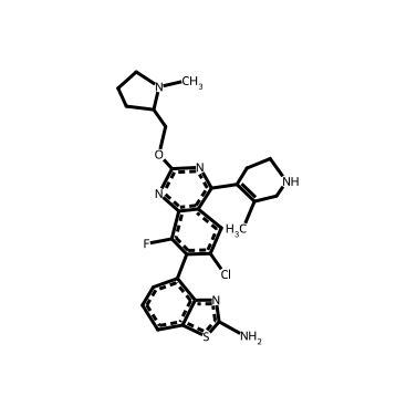 CC1=C(c2nc(OCC3CCCN3C)nc3c(F)c(-c4cccc5sc(N)nc45)c(Cl)cc23)CCNC1